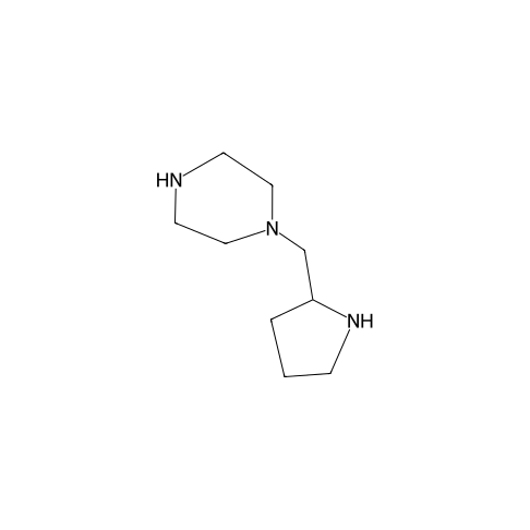 C1CNC(CN2CCNCC2)C1